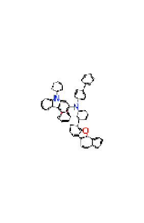 c1ccc(-c2ccc(N(c3ccc4c5ccccc5n(-c5ccccc5)c4c3)c3cccc(-c4cccc5c4oc4c6ccccc6ccc54)c3-c3ccccc3)cc2)cc1